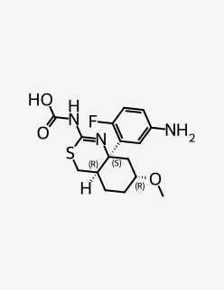 CO[C@@H]1CC[C@H]2CSC(NC(=O)O)=N[C@@]2(c2cc(N)ccc2F)C1